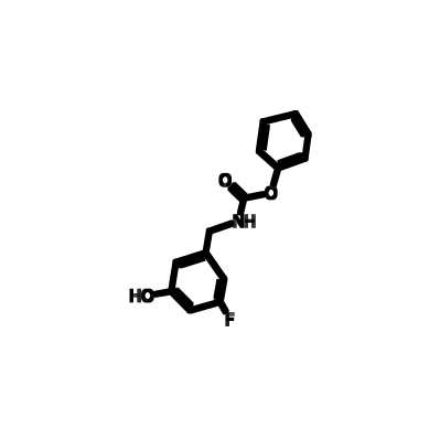 O=C(NCc1cc(O)cc(F)c1)Oc1ccccc1